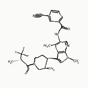 Cc1c(NC(=O)c2cccc(C#N)c2)cnc2c1c([C@@H]1CCN(C(=O)[C@H](C)C(F)(F)F)C[C@@H]1C)cn2C